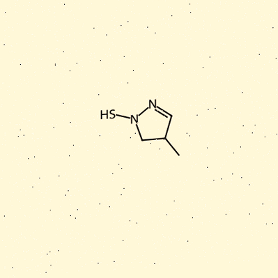 CC1C=NN(S)C1